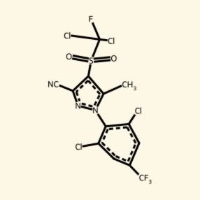 Cc1c(S(=O)(=O)C(F)(Cl)Cl)c(C#N)nn1-c1c(Cl)cc(C(F)(F)F)cc1Cl